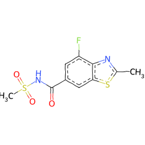 Cc1nc2c(F)cc(C(=O)NS(C)(=O)=O)cc2s1